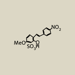 COc1ccc(C=Cc2ccc([N+](=O)[O-])cc2)c(OS(=O)(=O)O)c1